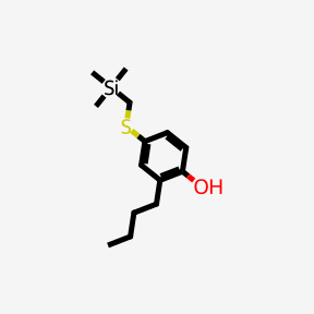 CCCCc1cc(SC[Si](C)(C)C)ccc1O